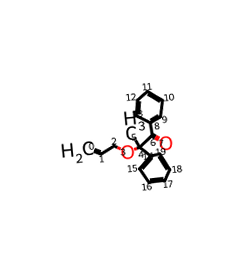 C=CCOC(C)(C(=O)c1ccccc1)c1ccccc1